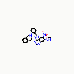 CCNc1cc2ncnc(NCc3ccccc3N3CCc4ccccc4C3)c2cc1[N+](=O)[O-]